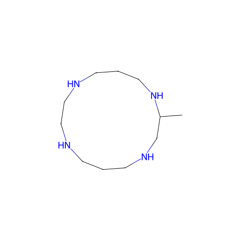 CC1CNCCCNCCNCCCN1